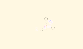 COC(=O)NCc1ccc(NC(=O)[C@H](Cc2ccccc2)NC(=O)C=Cc2cc(Cl)ccc2-n2cnnn2)cc1